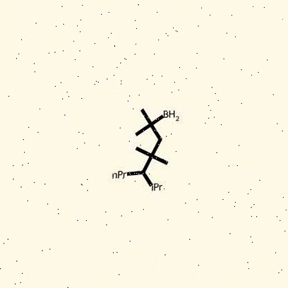 BC(C)(C)CC(C)(C)C(CCC)C(C)C